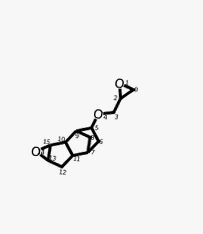 C1OC1COC1CC2CC1C1C2CC2OC21